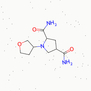 NC(=O)C1CC(C(N)=O)N(C2CCOC2)C1